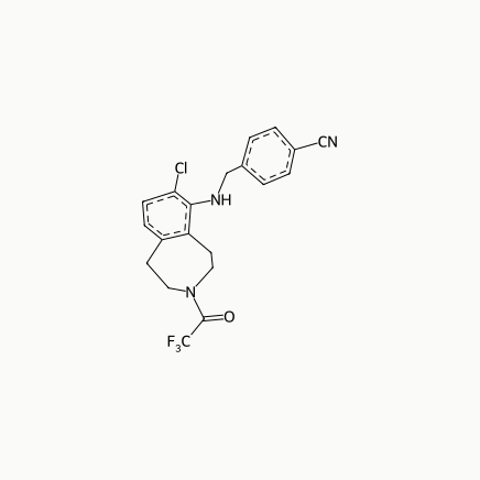 N#Cc1ccc(CNc2c(Cl)ccc3c2CCN(C(=O)C(F)(F)F)CC3)cc1